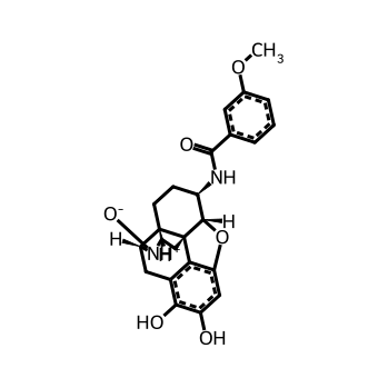 COc1cccc(C(=O)N[C@@H]2CC[C@H]3[C@H]4Cc5c(O)c(O)cc6c5[C@@]3(CC[NH+]4[O-])[C@H]2O6)c1